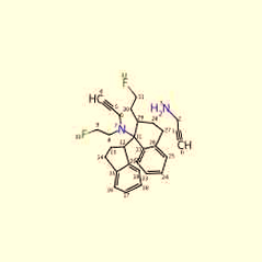 C#CCN.C#CCN(CCF)C1(C2CCc3ccccc32)c2ccccc2CCC1CCF